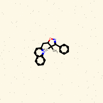 CC1(C)C(c2ccccc2)=NOC1Cc1ccc2ccccc2n1